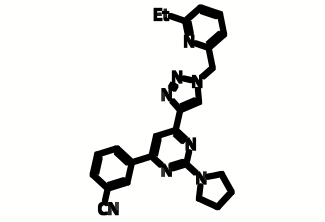 CCc1cccc(Cn2cc(-c3cc(-c4cccc(C#N)c4)nc(N4CCCC4)n3)nn2)n1